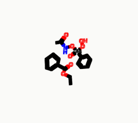 CC(=O)NO[As](=O)(OO)c1ccccc1.CCOC(=O)c1ccccc1